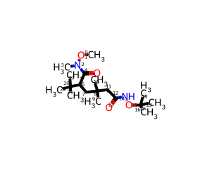 CON(C)C(=O)C(CC(C)(C)[CH]C(=O)NOC(C)(C)C)C(C)(C)C